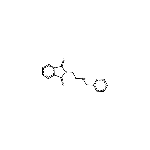 O=C1c2ccccc2C(=O)N1CCNCc1ccccc1